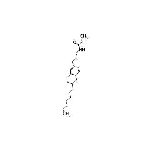 C=CC(=O)NCCCc1ccc2c(c1)CCC(CCCCCCC)C2